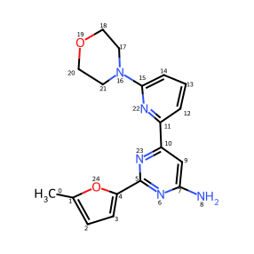 Cc1ccc(-c2nc(N)cc(-c3cccc(N4CCOCC4)n3)n2)o1